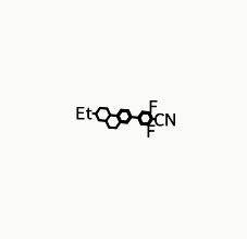 CCC1CCC2c3ccc(-c4cc(F)c(C#N)c(F)c4)cc3CCC2C1